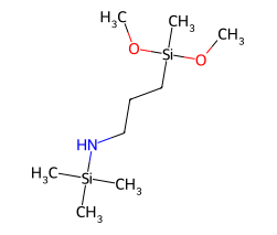 CO[Si](C)(CCCN[Si](C)(C)C)OC